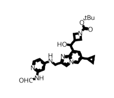 CC(C)(C)OC(=O)N1CC(C(O)c2cc(C3CC3)cn3cc(CNc4ccnc(NC=O)c4)nc23)C1